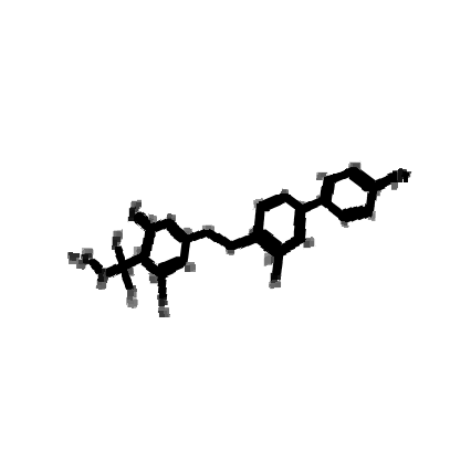 CCCc1ccc(-c2ccc(CCc3cc(F)c(C(F)(F)OC(F)(F)F)c(F)c3)c(F)c2)cc1